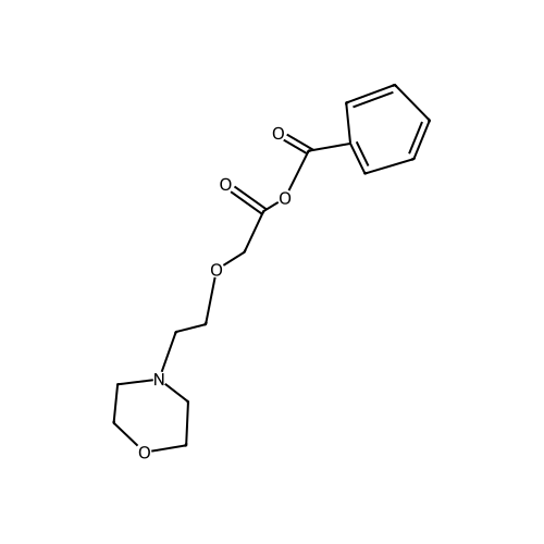 O=C(COCCN1CCOCC1)OC(=O)c1ccccc1